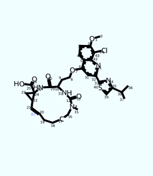 COc1ccc2c(OCCC3NC(=O)N(C)CCCC/C=C/C4CC4(C(=O)O)NC3=O)cc(-c3nc(C(C)C)cs3)nc2c1Cl